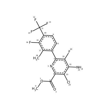 COC(=O)c1nc(-c2ccc(C(F)(F)F)c(F)c2C)c(F)c(N)c1Cl